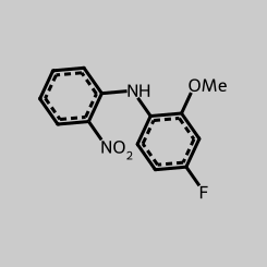 COc1cc(F)ccc1Nc1ccccc1[N+](=O)[O-]